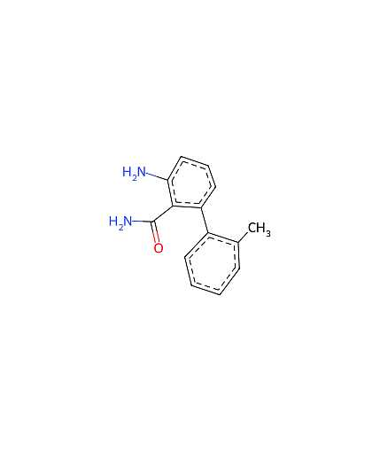 Cc1ccccc1-c1cccc(N)c1C(N)=O